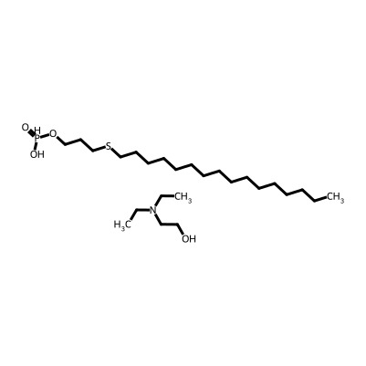 CCCCCCCCCCCCCCCCSCCCO[PH](=O)O.CCN(CC)CCO